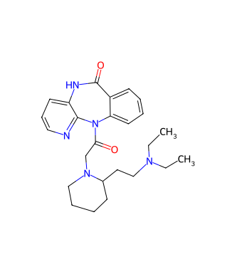 CCN(CC)CCC1CCCCN1CC(=O)N1c2ccccc2C(=O)Nc2cccnc21